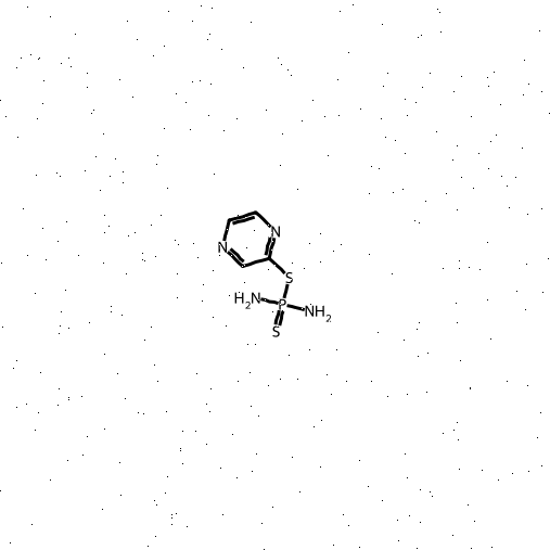 NP(N)(=S)Sc1cnccn1